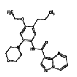 CCCc1cc(NC(=O)c2cnn3cccnc23)c(N2CCOCC2)cc1OCC